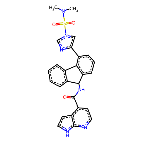 CN(C)S(=O)(=O)n1cnc(-c2cccc3c2-c2ccccc2C3NC(=O)c2ccnc3[nH]ccc23)c1